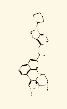 C[C@H](Nc1ncnc2c1ncn2C1CCCCO1)c1cc2cccc(-c3cnn(C)c3)c2c(N2CCN(C)CC2)n1